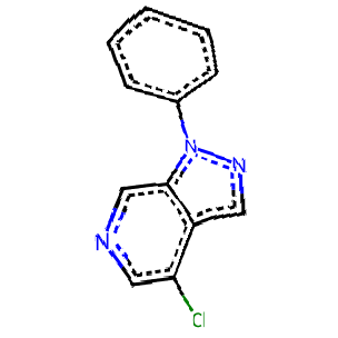 Clc1cncc2c1cnn2-c1ccccc1